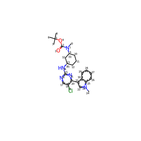 CN(C(=O)OC(C)(C)C)[C@H]1CCC[C@@H](Nc2ncc(Cl)c(-c3cn(C)c4ccccc34)n2)C1